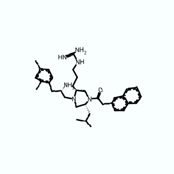 Cc1ccc(C[C@H](N)CN2C[C@@H](CC(C)C)N(C(=O)Cc3ccc4ccccc4c3)C[C@@H]2CCCNC(=N)N)c(C)c1